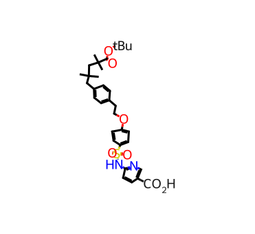 CC(C)(Cc1ccc(CCOc2ccc(S(=O)(=O)Nc3ccc(C(=O)O)cn3)cc2)cc1)CC(C)(C)C(=O)OC(C)(C)C